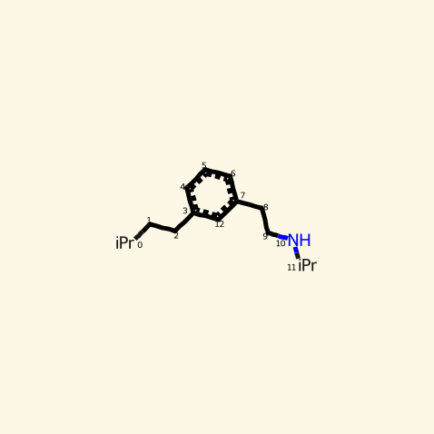 CC(C)CCc1cccc(CCNC(C)C)c1